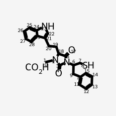 O=C(O)CN1C(=O)N(C(CS)Cc2ccccc2)C(=O)C1CCc1c[nH]c2ccccc12